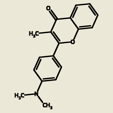 Cc1c(-c2ccc(N(C)C)cc2)oc2ccccc2c1=O